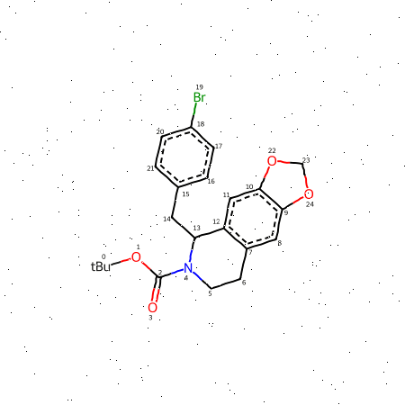 CC(C)(C)OC(=O)N1CCc2cc3c(cc2C1Cc1ccc(Br)cc1)OCO3